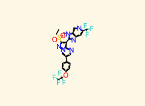 CCS(=O)(=O)c1nn2cc(-c3ccc(OC(F)(F)C(F)F)cc3)cnc2c1-c1nc2cc(C(F)(F)F)ncc2n1C